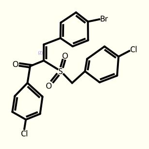 O=C(/C(=C/c1ccc(Br)cc1)S(=O)(=O)Cc1ccc(Cl)cc1)c1ccc(Cl)cc1